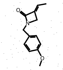 CC=C1CN(Cc2ccc(OC)cc2)C1=O